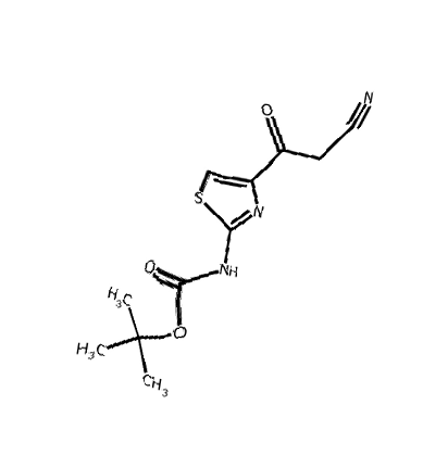 CC(C)(C)OC(=O)Nc1nc(C(=O)CC#N)cs1